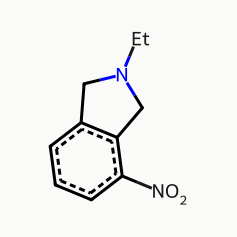 CCN1Cc2cccc([N+](=O)[O-])c2C1